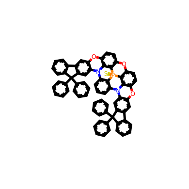 S=P12c3c4cccc3N3c5cc6c(cc5Oc5ccc(c1c53)Oc1ccc3c(c12)N4c1cc2c(cc1O3)-c1ccccc1C2(c1ccccc1)c1ccccc1)-c1ccccc1C6(c1ccccc1)c1ccccc1